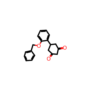 O=C1CC(=O)CC(c2ccccc2OCc2ccccc2)C1